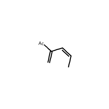 C=C(/C=C\C)C(C)=O